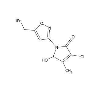 CC1=C(Cl)C(=O)N(c2cc(CC(C)C)on2)C1O